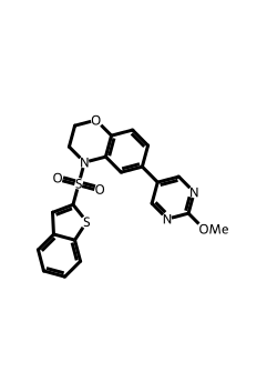 COc1ncc(-c2ccc3c(c2)N(S(=O)(=O)c2cc4ccccc4s2)CCO3)cn1